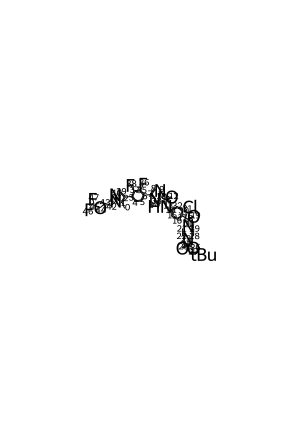 Cc1c(-c2ccc(-c3cnc(C(=O)Nc4ccc(C(=O)N5CCN(C(=O)OC(C)(C)C)CC5)c(Cl)c4)n3C)c(F)c2F)cnn1CCOC(F)F